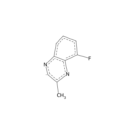 Cc1[c]nc2cccc(F)c2n1